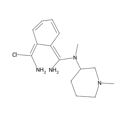 CN1CCCC(N(C)/C(N)=c2\cccc\c2=C(\N)Cl)C1